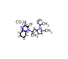 CC(C)CC(C)N1C(C)CC[C@H]1C[C@H](C)n1c(=O)c(C(=O)O)nc2ccccc21